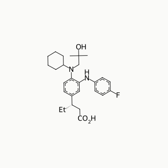 CC[C@@H](CC(=O)O)c1ccc(N(CC(C)(C)O)C2CCCCC2)c(Nc2ccc(F)cc2)c1